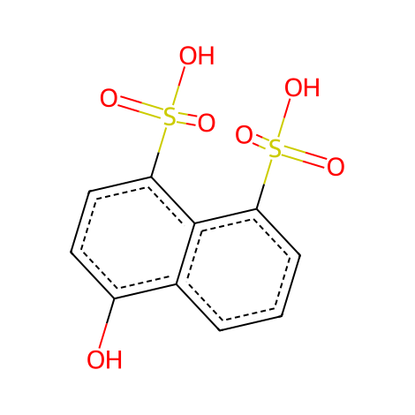 O=S(=O)(O)c1cccc2c(O)ccc(S(=O)(=O)O)c12